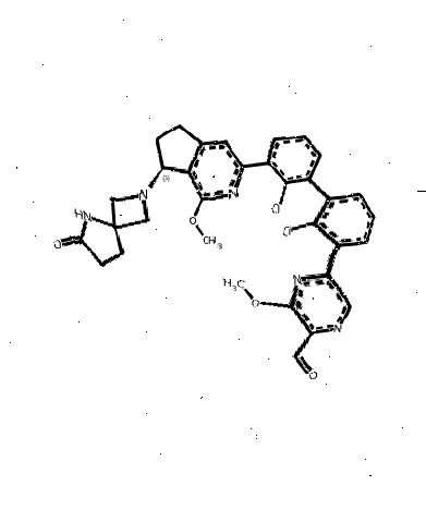 COc1nc(-c2cccc(-c3cccc(-c4cc5c(c(OC)n4)[C@@H](N4CC6(CCC(=O)N6)C4)CC5)c3Cl)c2Cl)cnc1C=O